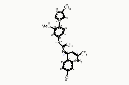 C=C(/N=C(\C=C(/N)C(F)(F)F)c1ccc(Cl)cc1)Nc1ccc(-n2cnc(C)c2)c(OC)c1